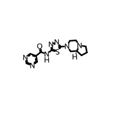 O=C(Nc1nnc(N2CCN3CCC[C@H]3C2)s1)c1cncnc1